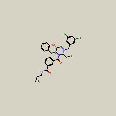 CCCNC(=O)c1cccc(C(=O)N(CCC)[C@@H](Cc2ccccc2)[C@H](O)CNCc2cc(Cl)cc(Cl)c2)c1